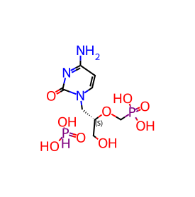 Nc1ccn(C[C@@H](CO)OCP(=O)(O)O)c(=O)n1.O=[PH](O)O